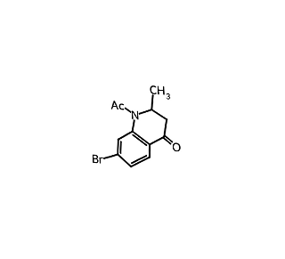 CC(=O)N1c2cc(Br)ccc2C(=O)CC1C